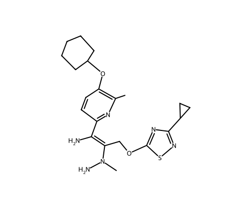 Cc1nc(/C(N)=C(\COc2nc(C3CC3)ns2)N(C)N)ccc1OC1CCCCC1